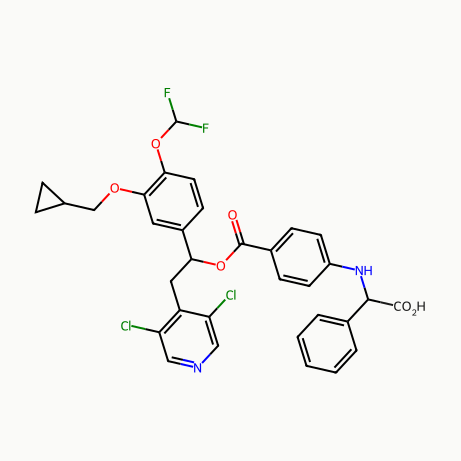 O=C(OC(Cc1c(Cl)cncc1Cl)c1ccc(OC(F)F)c(OCC2CC2)c1)c1ccc(NC(C(=O)O)c2ccccc2)cc1